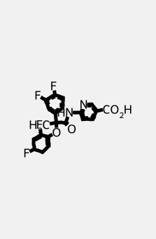 CC(OC1=CCC(F)C=C1F)(C(=O)Nc1ccc(C(=O)O)cn1)c1ccc(F)c(F)c1